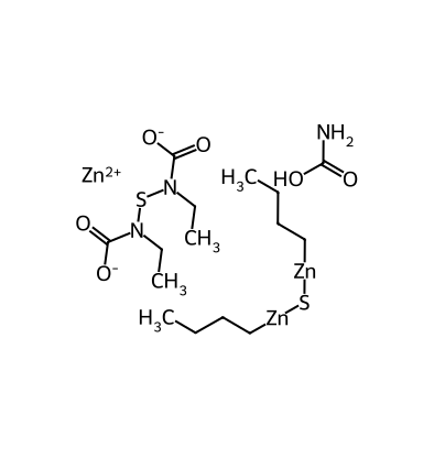 CCC[CH2][Zn][S][Zn][CH2]CCC.CCN(SN(CC)C(=O)[O-])C(=O)[O-].NC(=O)O.[Zn+2]